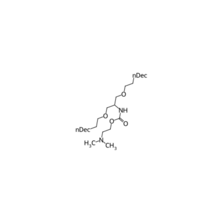 CCCCCCCCCCCCOCC(COCCCCCCCCCCCC)NC(=O)OCCN(C)C